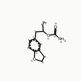 CC(C)C(Cc1ccc2c(c1)CCO2)OC(N)=O